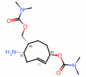 CN(C)C(=O)OC[C@@H]1CC[C@@H](OC(=O)N(C)C)/C=C/C[C@@H]1N